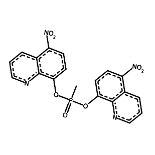 CP(=O)(Oc1ccc([N+](=O)[O-])c2cccnc12)Oc1ccc([N+](=O)[O-])c2cccnc12